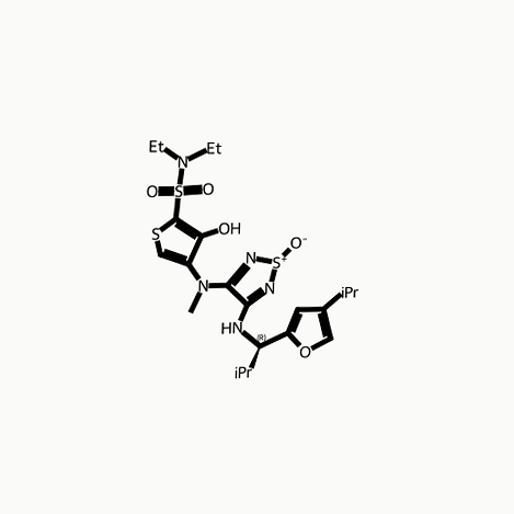 CCN(CC)S(=O)(=O)c1scc(N(C)c2n[s+]([O-])nc2N[C@@H](c2cc(C(C)C)co2)C(C)C)c1O